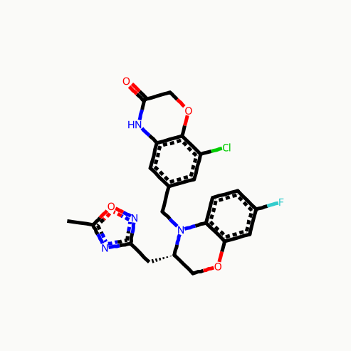 Cc1nc(C[C@H]2COc3cc(F)ccc3N2Cc2cc(Cl)c3c(c2)NC(=O)CO3)no1